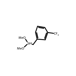 CO[SiH](Cc1cccc(C(F)(F)F)c1)OC